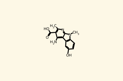 Cc1nc2c(c(N)c1C(=O)O)c1cc(O)ccc1n2C